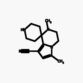 Cc1cc(C#N)c2n1CCN(C)C21CCNCC1